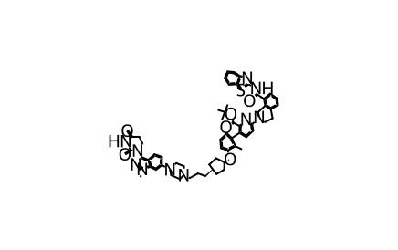 Cc1c(O[C@H]2CC[C@H](CCCN3CCN(c4ccc5c(N6CCC(=O)NC6=O)nn(C)c5c4)CC3)CC2)cccc1-c1ccc(N2CCc3cccc(C(=O)Nc4nc5ccccc5s4)c3C2)nc1C(=O)OC(C)(C)C